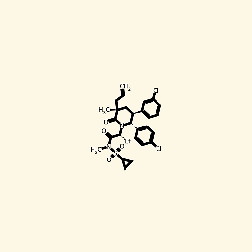 C=CC[C@]1(C)C[C@@H](c2cccc(Cl)c2)[C@H](c2ccc(Cl)cc2)N([C@H](CC)C(=O)N(C)S(=O)(=O)C2CC2)C1=O